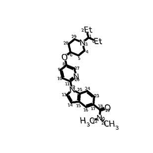 CCC(CC)N1CCC(Oc2ccc(-n3ccc4cc(C(=O)N(C)C)ccc43)nc2)CC1